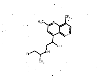 Cc1cc(C(O)CNC(C)CC(C)C)c2cccc(C(F)(F)F)c2n1